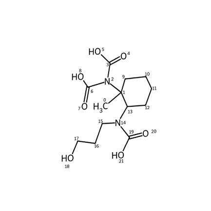 CC1(N(C(=O)O)C(=O)O)CCCCC1N(CCCO)C(=O)O